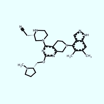 Cc1cc2[nH]ncc2c(N2CCc3c(nc(OC[C@@H]4CCCN4C)nc3N3CCN[C@@H](CC#N)C3)C2)c1C